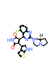 O=C1NC(=O)C(c2nc(N3CCN4CCC[C@@H]4C3)nc3cccc(F)c23)=C1c1c[nH]c2sccc12